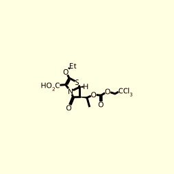 CCOC1=C(C(=O)O)N2C(=O)[C@H](C(C)OC(=O)OCC(Cl)(Cl)Cl)[C@H]2S1